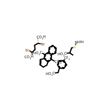 CC(=O)NSCC(C)C(=O)O.O=C(O)Cc1ccc(C(F)(F)F)cc1.O=C(O)[C@H](Br)CC[C@H](Br)C(=O)O.O=C(O)c1c2c(c(C(=O)O)c3ccccc13)CCC=C2